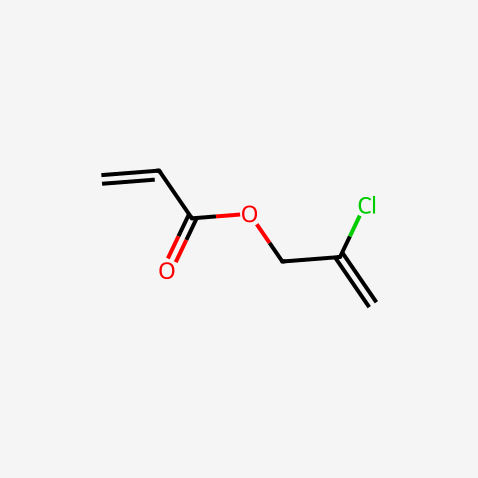 C=CC(=O)OCC(=C)Cl